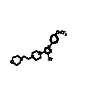 CC(C)c1nn(-c2ccc(OC(F)(F)F)cc2)cc1N1CCN(CCN2CCOCC2)CC1